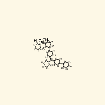 C[Si]1(C)c2ccccc2Sc2c(-c3ccc(N(c4ccccc4)c4ccc(-c5ccccc5)cc4)cc3)cccc21